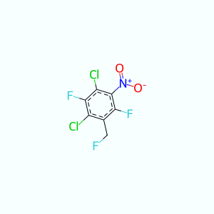 O=[N+]([O-])c1c(F)c(CF)c(Cl)c(F)c1Cl